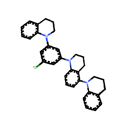 Clc1cc(N2CCCc3ccccc32)cc(N2CCCc3c2cccc3N2CCCc3ccccc32)c1